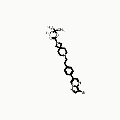 CC(C)(C)OC(=O)N1CC2(CCN(CCc3ccc(-c4cnc5c(Br)cnn5c4)cc3)CC2)C1